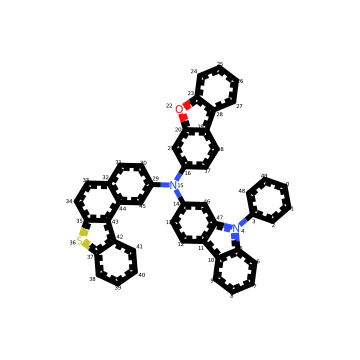 c1ccc(-n2c3ccccc3c3ccc(N(c4ccc5c(c4)oc4ccccc45)c4ccc5ccc6sc7ccccc7c6c5c4)cc32)cc1